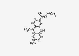 CCOC(=O)c1ccc(C(C)c2cc(Br)ccc2O)cc1